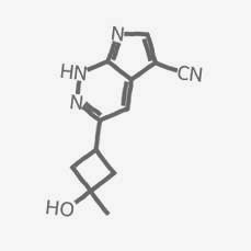 CC1(O)CC(c2cc3c(C#N)cnc-3[nH]n2)C1